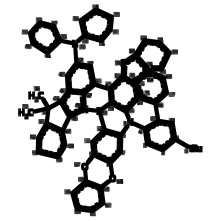 CC(C)(C)c1ccc(N2c3cc4c(cc3B3c5c2cc2c(sc6ccccc62)c5-c2cc(N(c5ccccc5)c5ccccc5)cc5c6c(n3c25)-c2ccccc2C6(C)C)Oc2ccccc2O4)c(-c2ccccc2)c1